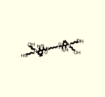 CC1(C)CC(N(CCCCO)CCCCO)=C(C#N)/C(=C(\C#N)C(=O)OCCCCCCOC(=O)/C(C#N)=C2\CC(C)(C)CC(N(CCCCO)CCCCO)=C2C#N)C1